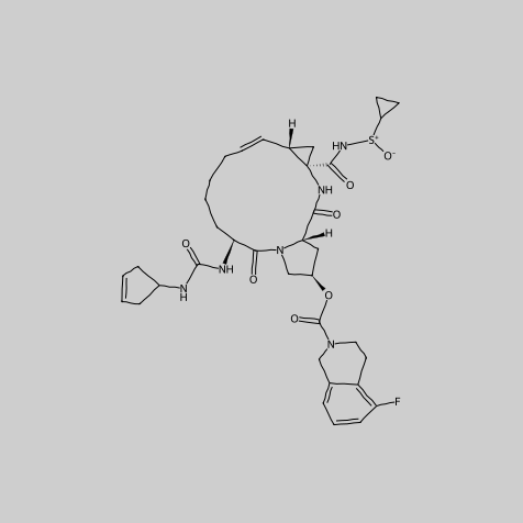 O=C(NC1CC=CC1)N[C@H]1CCCC/C=C\[C@@H]2C[C@@]2(C(=O)N[S+]([O-])C2CC2)NC(=O)[C@@H]2C[C@@H](OC(=O)N3CCc4c(F)cccc4C3)CN2C1=O